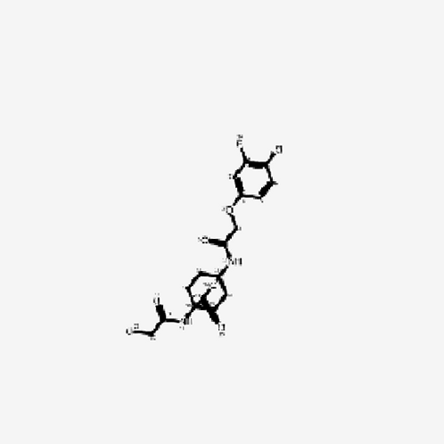 O=C(COc1ccc(Cl)c(F)c1)NC12CCC(NC(=O)CCl)(CC1)C(=O)C2